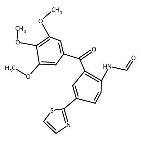 COc1cc(C(=O)c2cc(-c3nccs3)ccc2NC=O)cc(OC)c1OC